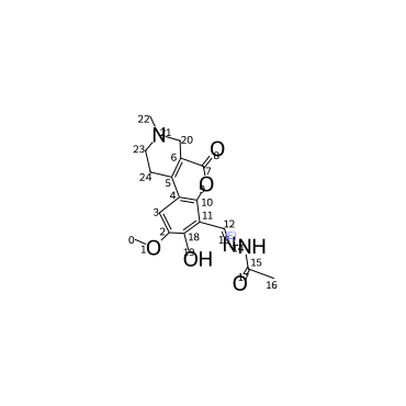 COc1cc2c3c(c(=O)oc2c(/C=N/NC(C)=O)c1O)CN(C)CC3